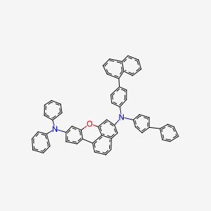 c1ccc(-c2ccc(N(c3ccc(-c4cccc5ccccc45)cc3)c3cc4c5c(cccc5c3)-c3ccc(N(c5ccccc5)c5ccccc5)cc3O4)cc2)cc1